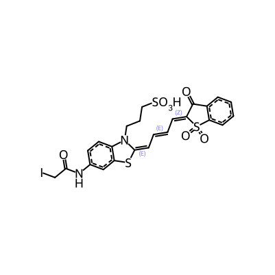 O=C(CI)Nc1ccc2c(c1)S/C(=C/C=C/C=C1/C(=O)c3ccccc3S1(=O)=O)N2CCCS(=O)(=O)O